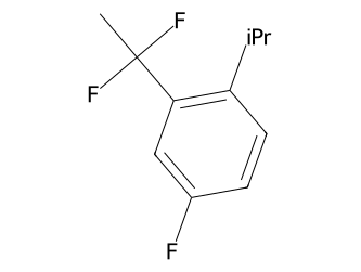 CC(C)c1ccc(F)cc1C(C)(F)F